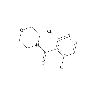 O=C(c1c(Cl)ccnc1Cl)N1CCOCC1